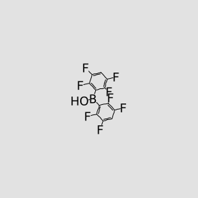 OB(c1c(F)c(F)cc(F)c1F)c1c(F)c(F)cc(F)c1F